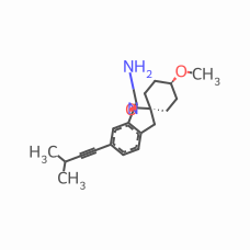 CO[C@H]1CC[C@]2(CC1)Cc1ccc(C#CC(C)C)cc1C21COC(N)=N1